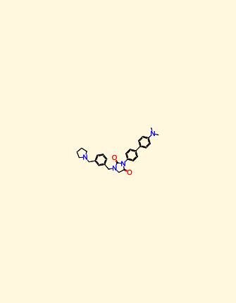 CN(C)c1ccc(-c2ccc(N3C(=O)CN(Cc4cccc(CN5CCCC5)c4)C3=O)cc2)cc1